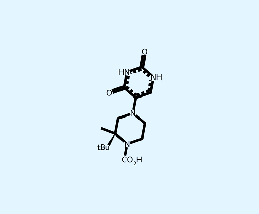 CC(C)(C)[C@@]1(C)CN(c2c[nH]c(=O)[nH]c2=O)CCN1C(=O)O